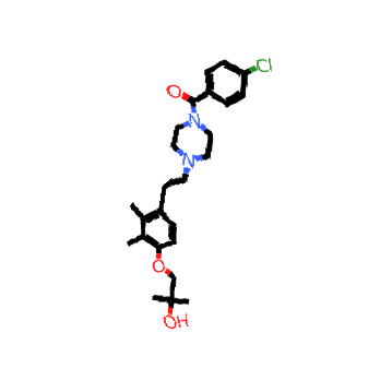 Cc1c(CCN2CCN(C(=O)c3ccc(Cl)cc3)CC2)ccc(OCC(C)(C)O)c1C